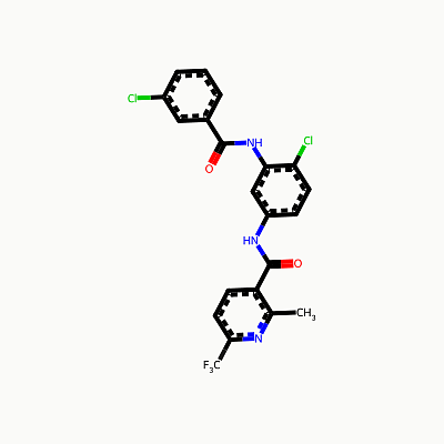 Cc1nc(C(F)(F)F)ccc1C(=O)Nc1ccc(Cl)c(NC(=O)c2cccc(Cl)c2)c1